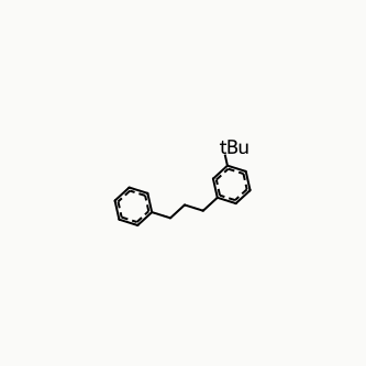 CC(C)(C)c1cccc(CCCc2ccccc2)c1